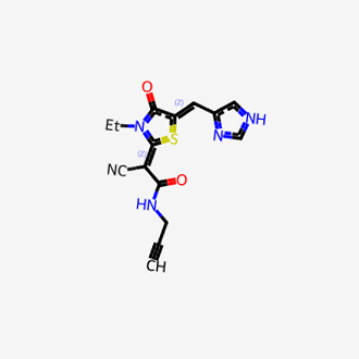 C#CCNC(=O)/C(C#N)=c1\s/c(=C\c2c[nH]cn2)c(=O)n1CC